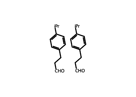 CC(C)c1ccc(CCC=O)cc1.CC(C)c1ccc(CCC=O)cc1